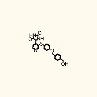 O=C1NC(=O)C(c2ccncc2Sc2ccc(OCc3ccc(CO)cc3)cc2)N1